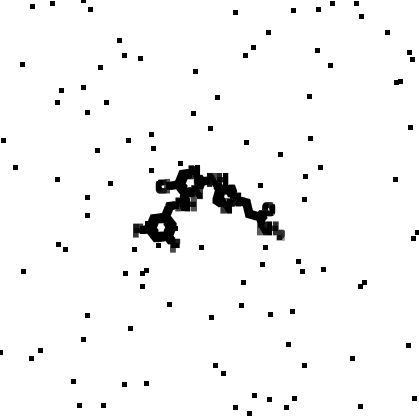 NC(=O)CCn1cc(Nc2ncc(Cl)c(NCc3cc(F)cc(F)c3)n2)cn1